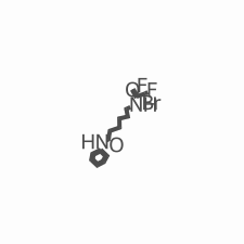 O=C(CCCCCNC(=O)C(F)(F)Br)Nc1ccccc1